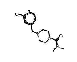 CN(C)C(=O)N1CCN(Cc2ccnc(Cl)c2)CC1